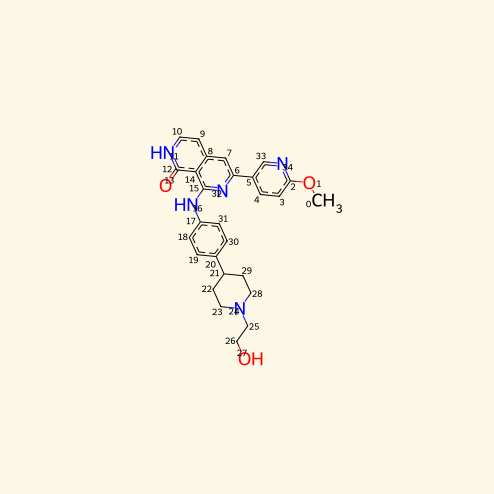 COc1ccc(-c2cc3cc[nH]c(=O)c3c(Nc3ccc(C4CCN(CCO)CC4)cc3)n2)cn1